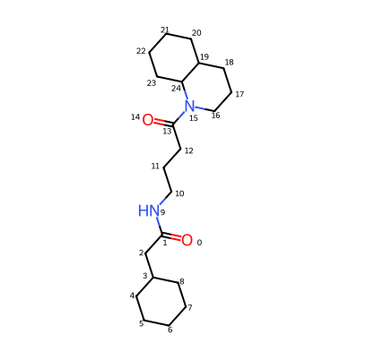 O=C(CC1CCCCC1)NCCCC(=O)N1CCCC2CCCCC21